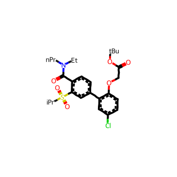 CCCN(CC)C(=O)c1ccc(-c2cc(Cl)ccc2OCC(=O)OC(C)(C)C)cc1S(=O)(=O)C(C)C